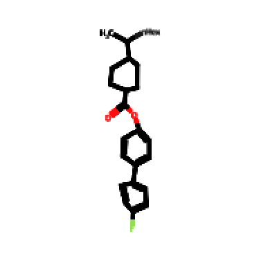 CCCCCCC(C)C1CCC(C(=O)Oc2ccc(-c3ccc(F)cc3)cc2)CC1